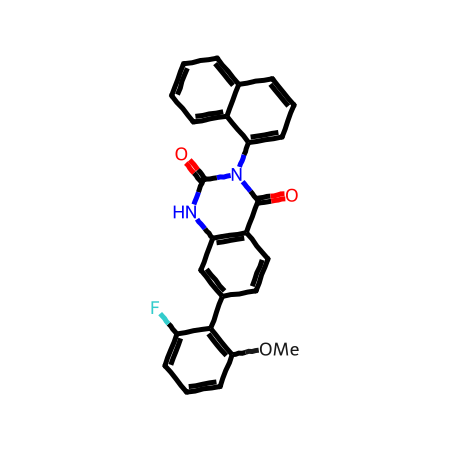 COc1cccc(F)c1-c1ccc2c(=O)n(-c3cccc4ccccc34)c(=O)[nH]c2c1